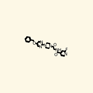 O=C(NCC(=O)N1CCN(c2ncc(OCc3ccccc3)cn2)CC1)c1ccnc(F)c1